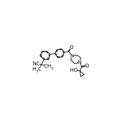 CC(C)(C#N)c1cccc(-c2ccc(C(=O)N3CCN(C(=O)C4(O)CC4)CC3)cc2)c1